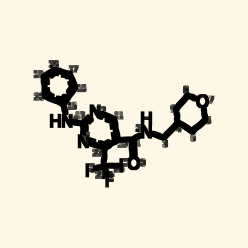 O=C(NCC1CCOCC1)c1cnc(Nc2ccccc2)nc1C(F)(F)F